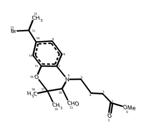 COC(=O)CCCN1c2ccc(C(C)Br)cc2OC(C)(C)C1C=O